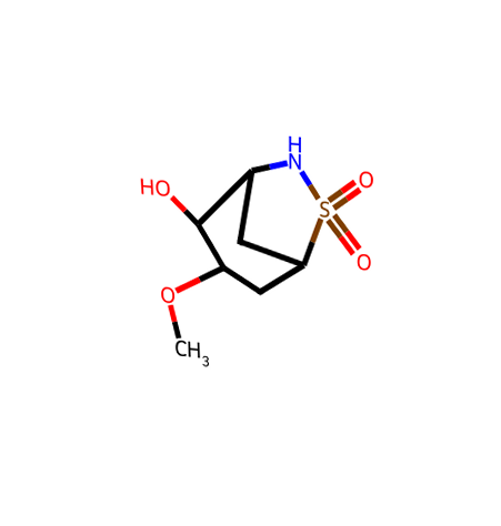 COC1CC2CC(NS2(=O)=O)C1O